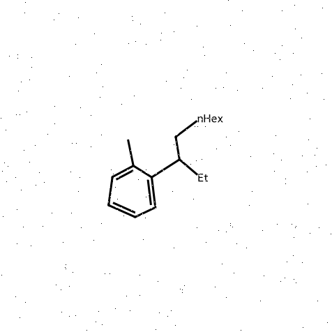 CCCCCCCC(CC)c1ccccc1C